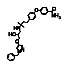 CC(C)(CCc1ccc(Oc2ccc(C(N)=O)cc2)cc1)NCC(O)COc1cnn(Cc2ccccc2)c1